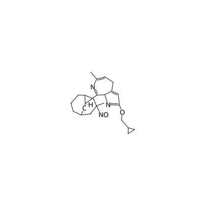 CC1=CCC2=CC(OCC3CC3)=NC2C([C@H]2CC3CCCC2CC(C)(N=O)C3)=N1